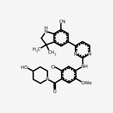 COc1cc(C(=O)N2CCC(O)CC2)c(Cl)cc1Nc1nccc(-c2cc(C#N)c3c(c2)C(C)(C)CN3)n1